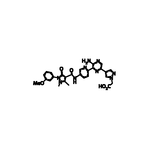 COc1cccc(-n2c(=O)c(C(=O)Nc3ccc(-c4nc(-c5cnn(CC(=O)O)c5)cnc4N)nc3)c(C)n2C)c1